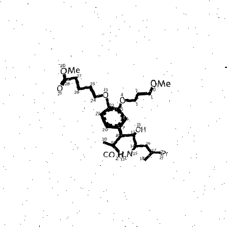 COCCCOc1cc(C(C(C)C(=O)O)C(O)C(N)CC(C)C(C)C)ccc1OCCCCC(=O)OC